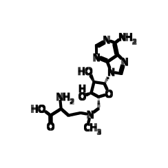 CN(CCC(N)C(=O)O)C[C@H]1O[C@@H](n2cnc3c(N)ncnc32)[C@H](O)[C@@H]1O